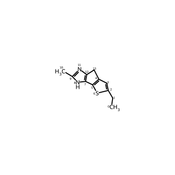 CCc1cc2c(s1)-c1[nH]c(C)nc1C2